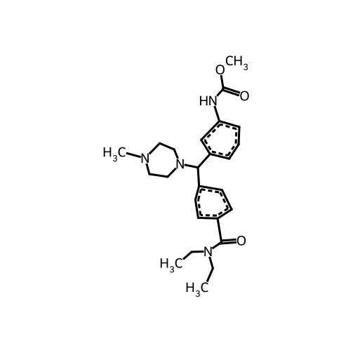 CCN(CC)C(=O)c1ccc(C(c2cccc(NC(=O)OC)c2)N2CCN(C)CC2)cc1